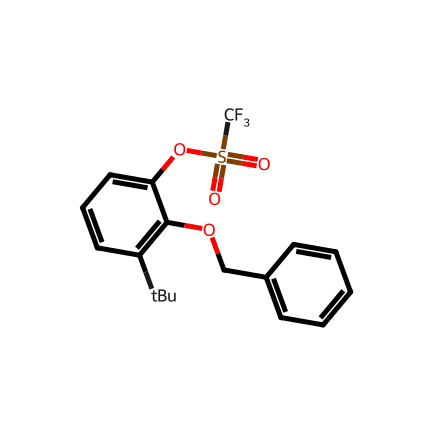 CC(C)(C)c1cccc(OS(=O)(=O)C(F)(F)F)c1OCc1ccccc1